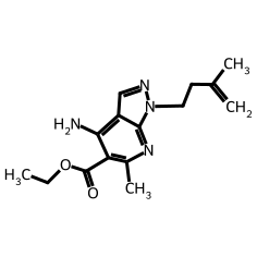 C=C(C)CCn1ncc2c(N)c(C(=O)OCC)c(C)nc21